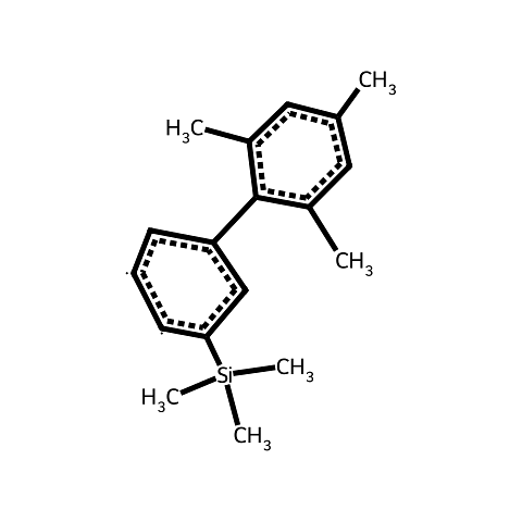 Cc1cc(C)c(-c2c[c][c]c([Si](C)(C)C)c2)c(C)c1